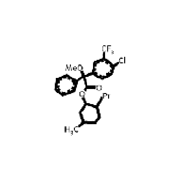 COC(C(=O)OC1CC(C)CCC1C(C)C)(c1ccccc1)c1ccc(Cl)c(C(F)(F)F)c1